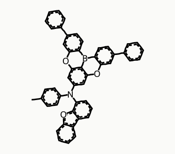 Cc1ccc(N(c2cc3c4c(c2)Oc2cc(-c5ccccc5)ccc2B4c2ccc(-c4ccccc4)cc2O3)c2cccc3c2oc2ccccc23)cc1